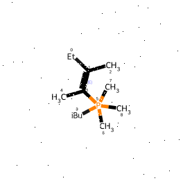 CC/C(C)=C(\C)P(C)(C)(C)C(C)CC